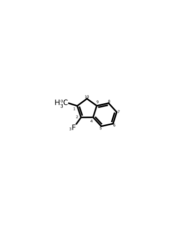 CC1=C(F)c2ccccc2C1